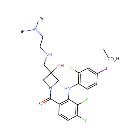 CC(=O)O.CC(C)N(CCNCC1(O)CN(C(=O)c2ccc(F)c(F)c2Nc2ccc(I)cc2F)C1)C(C)C